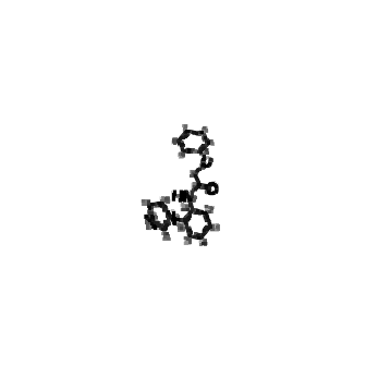 O=C(COc1ccccc1)Nc1ccccc1-n1ccnc1